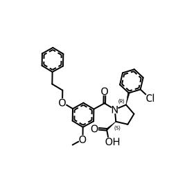 COc1cc(OCCc2ccccc2)cc(C(=O)N2[C@@H](c3ccccc3Cl)CC[C@H]2C(=O)O)c1